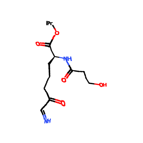 CC(C)OC(=O)[C@H](CCCC(=O)C=N)NC(=O)CCO